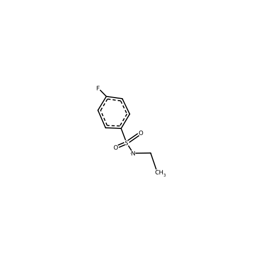 CC[N]S(=O)(=O)c1ccc(F)cc1